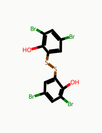 Oc1c(Br)cc(Br)cc1SSc1cc(Br)cc(Br)c1O